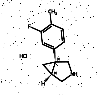 Cc1ccc([C@]23CNC[C@H]2C3)cc1F.Cl